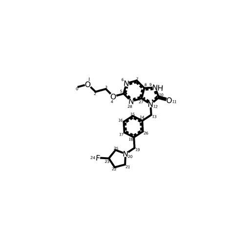 COCCOc1ncc2[nH]c(=O)n(Cc3cccc(CN4CCC(F)C4)c3)c2n1